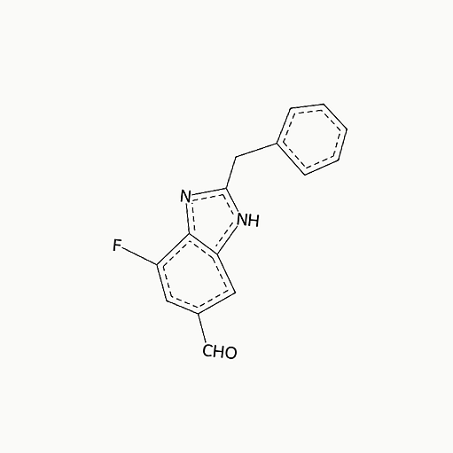 O=Cc1cc(F)c2nc(Cc3ccccc3)[nH]c2c1